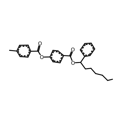 CCCCCCC(OC(=O)c1ccc(OC(=O)c2ccc(C)cc2)cc1)c1ccccc1